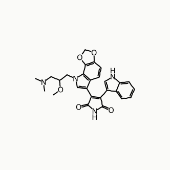 COC(CN(C)C)Cn1cc(C2=C(c3c[nH]c4ccccc34)C(=O)NC2=O)c2ccc3c(c21)OCO3